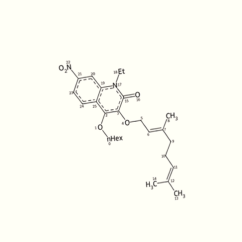 CCCCCCOc1c(OC/C=C(\C)CCC=C(C)C)c(=O)n(CC)c2cc([N+](=O)[O-])ccc12